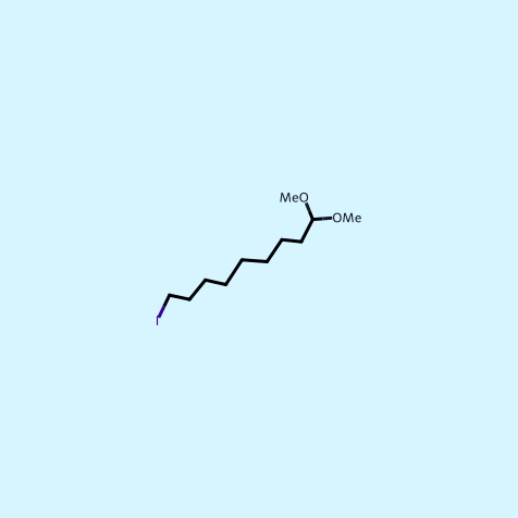 COC(CCCCCCCCI)OC